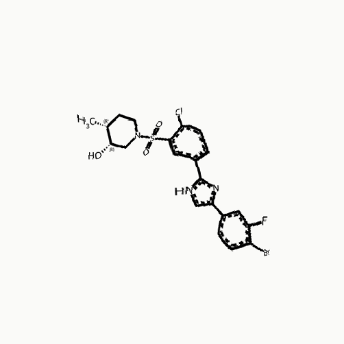 C[C@@H]1CCN(S(=O)(=O)c2cc(-c3nc(-c4ccc(Br)c(F)c4)c[nH]3)ccc2Cl)C[C@@H]1O